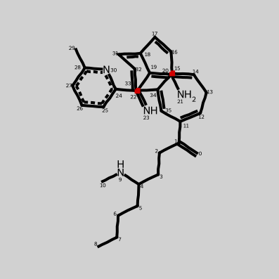 C=C(CCC(CCCC)NC)C1=CCC=C2\C=C/C(C(=C/N)/C(=N)c3cccc(C)n3)=C/C=C/C2=C1